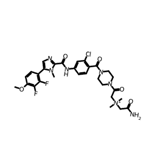 COc1ccc(-c2cnc(C(=O)Nc3ccc(C(=O)N4CCN(C(=O)C[N+](C)(C)CC(N)=O)CC4)c(Cl)c3)n2C)c(F)c1F